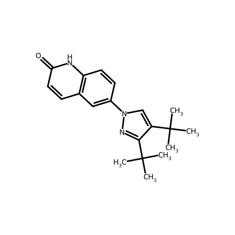 CC(C)(C)c1cn(-c2ccc3[nH]c(=O)ccc3c2)nc1C(C)(C)C